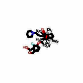 CO[C@@H]1CC[C@@]23CC[C@@H](C)[C@](C)([C@H](C(Oc4ccc5c(c4F)B(O)OC5)C(=O)O)C[C@](C)(CCN4CCCCC4)C(=O)[C@@H]2C)[C@@H]13